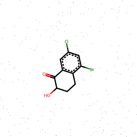 O=C1c2cc(Cl)cc(Br)c2CCC1O